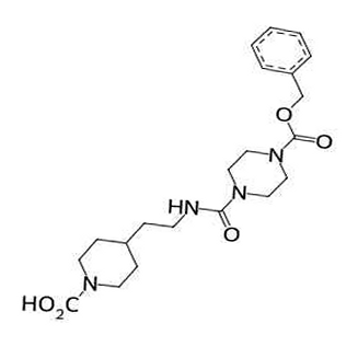 O=C(O)N1CCC(CCNC(=O)N2CCN(C(=O)OCc3ccccc3)CC2)CC1